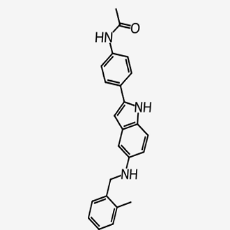 CC(=O)Nc1ccc(-c2cc3cc(NCc4ccccc4C)ccc3[nH]2)cc1